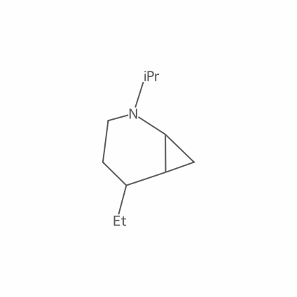 CCC1CCN(C(C)C)C2CC12